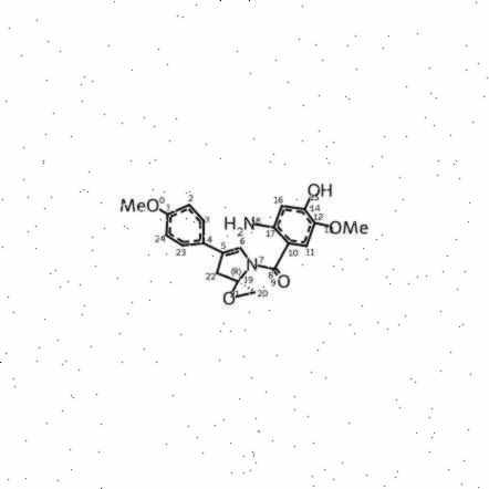 COc1ccc(C2=CN(C(=O)c3cc(OC)c(O)cc3N)[C@]3(CO3)C2)cc1